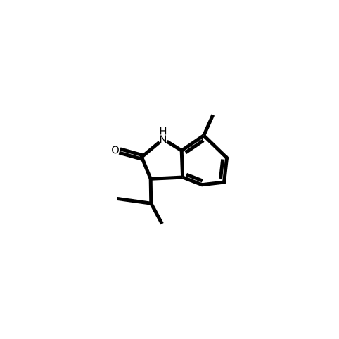 Cc1cccc2c1NC(=O)C2C(C)C